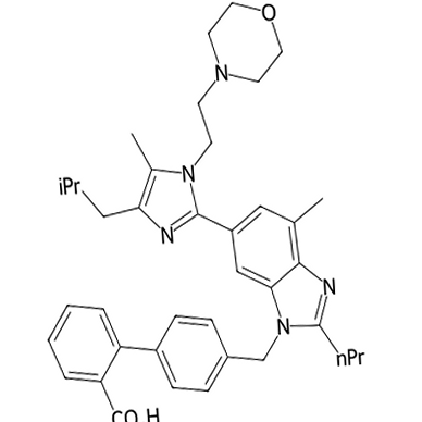 CCCc1nc2c(C)cc(-c3nc(CC(C)C)c(C)n3CCN3CCOCC3)cc2n1Cc1ccc(-c2ccccc2C(=O)O)cc1